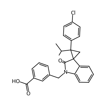 CC(C)C1(c2ccc(Cl)cc2)CC12C(=O)N(Cc1cccc(C(=O)O)c1)c1ccccc12